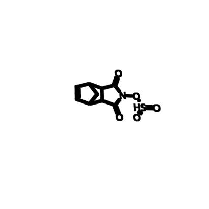 O=C1C2C3C=CC(C3)C2C(=O)N1O[SH](=O)=O